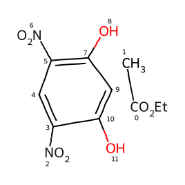 CCOC(C)=O.O=[N+]([O-])c1cc([N+](=O)[O-])c(O)cc1O